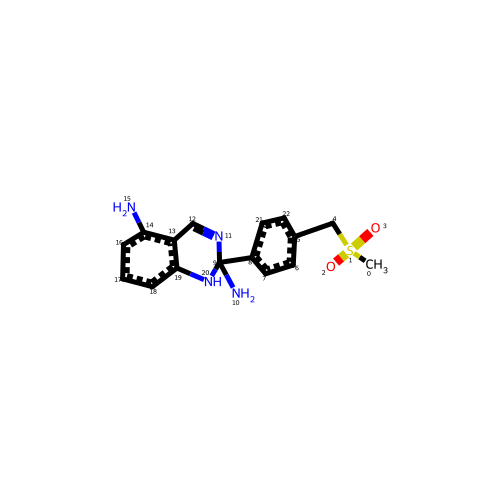 CS(=O)(=O)Cc1ccc(C2(N)N=Cc3c(N)cccc3N2)cc1